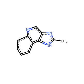 Cc1nc2cnc3ccccc3c2[nH]1